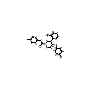 Cc1ccc(CC(=O)N2CCC(Oc3ccc(F)cc3)C(c3ccccc3F)C2)cc1